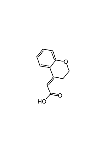 O=C(O)/C=C1\CCOc2ccccc21